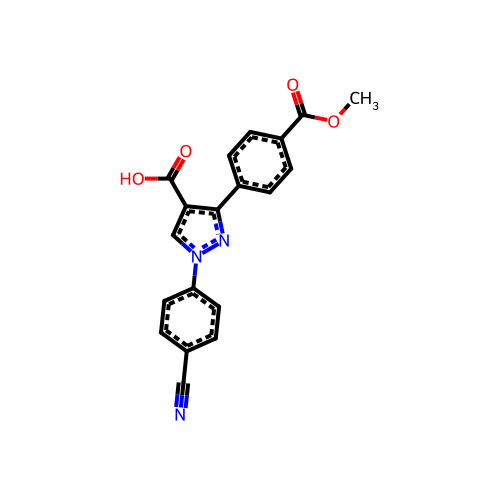 COC(=O)c1ccc(-c2nn(-c3ccc(C#N)cc3)cc2C(=O)O)cc1